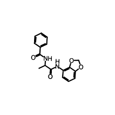 CC(NC(=O)c1ccccc1)C(=O)Nc1cccc2c1OCO2